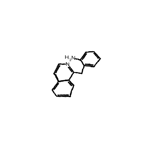 Nc1ccccc1Cc1nccc2ccccc12